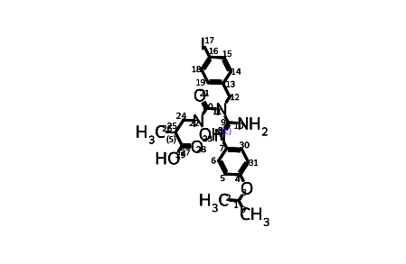 CC(C)Oc1ccc(/N=C(\N)N(Cc2ccc(I)cc2)C(=O)N(O)C[C@H](C)C(=O)O)cc1